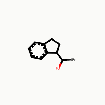 CC(C)C(O)C1CCc2ccccc21